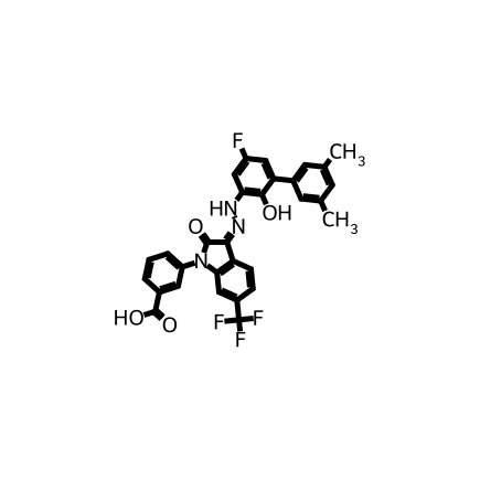 Cc1cc(C)cc(-c2cc(F)cc(N/N=C3\C(=O)N(c4cccc(C(=O)O)c4)c4cc(C(F)(F)F)ccc43)c2O)c1